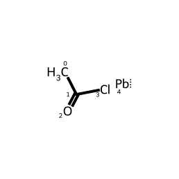 CC(=O)Cl.[Pb]